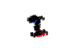 C[C@@H](N[C@H]1CC[C@@H](c2ccc(OCC(C)(C)O)cc2)C1)c1cccc2ccccc12